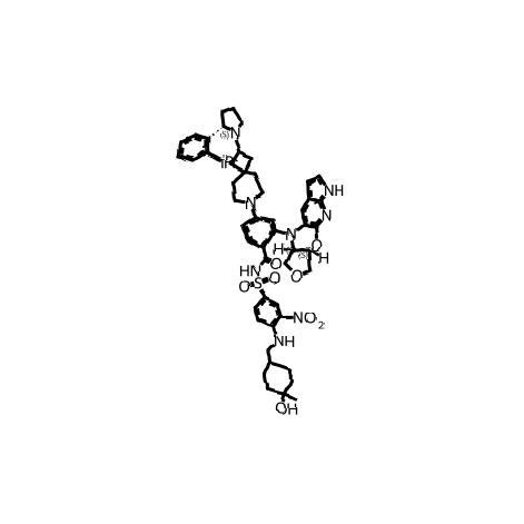 CC(C)c1ccccc1[C@@H]1CCCN1C1CC2(CCN(c3ccc(C(=O)NS(=O)(=O)c4ccc(NCC5CCC(C)(O)CC5)c([N+](=O)[O-])c4)c(N4c5cc6cc[nH]c6nc5O[C@@H]5COC[C@@H]54)c3)CC2)C1